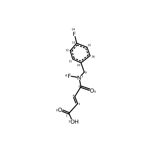 O=C(O)C=CC(=O)N(F)Cc1ccc(F)cc1